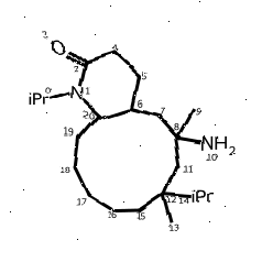 CC(C)N1C(=O)CCC2CC(C)(N)CC(C)(C(C)C)CCCCCC21